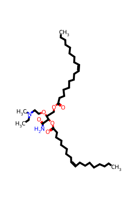 CCCCCCCC/C=C\CCCCCCCC(=O)OCC(OCCN(C)CC)C(OC(=O)CCCCCCC/C=C\CCCCCCCC)C(N)=O